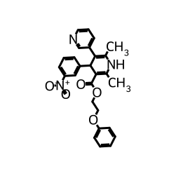 CC1=C(C(=O)OCCOc2ccccc2)C(c2cccc([N+](=O)[O-])c2)C(c2cccnc2)=C(C)N1